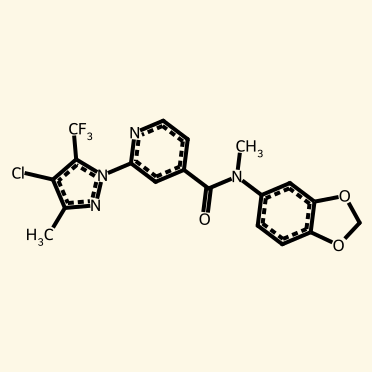 Cc1nn(-c2cc(C(=O)N(C)c3ccc4c(c3)OCO4)ccn2)c(C(F)(F)F)c1Cl